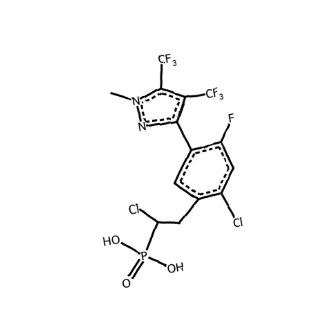 Cn1nc(-c2cc(CC(Cl)P(=O)(O)O)c(Cl)cc2F)c(C(F)(F)F)c1C(F)(F)F